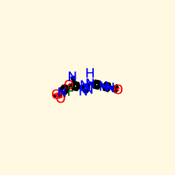 COC(=O)N1CC[C@H](Oc2ccc(-c3ncnc(Nc4ccc(N5CCN(C6COC6)CC5)cc4)n3)cc2C#N)C(F)C1